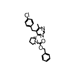 Cc1ncnc([C@H]2CCCN2C(=O)OCc2ccccc2)c1Cc1ccc(Cl)cc1